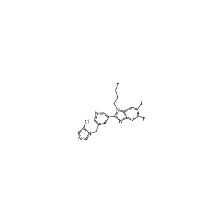 FCCCn1c(-c2cncc(Cn3cncc3Cl)c2)nc2cc(F)c(I)cc21